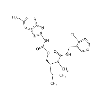 Cc1ccc2nc(NC(=O)OC[C@H](CC(C)C)N(C)C(=O)NCc3ccccc3Cl)sc2c1